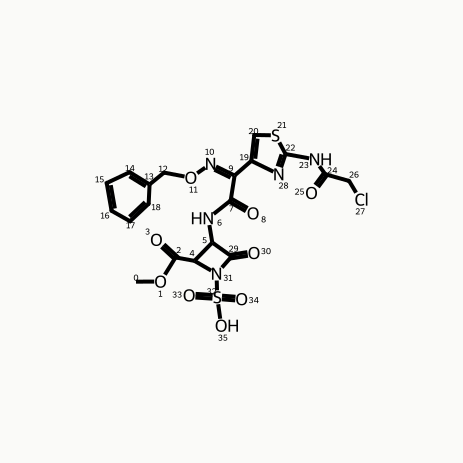 COC(=O)C1C(NC(=O)C(=NOCc2ccccc2)c2csc(NC(=O)CCl)n2)C(=O)N1S(=O)(=O)O